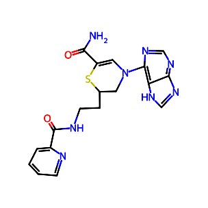 NC(=O)C1=CN(c2ncnc3nc[nH]c23)CC(CCNC(=O)c2ccccn2)S1